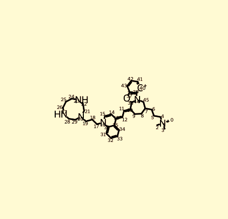 C[N+](C)(C)CCCC1CCC(=CC=C2C=CN(CCCN3CCNCCCNCC3)c3ccccc32)C2OC3=C([C+]=CC=C3)N2C1